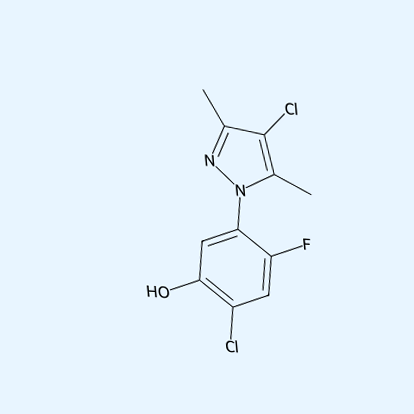 Cc1nn(-c2cc(O)c(Cl)cc2F)c(C)c1Cl